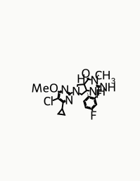 COc1nc(N2C[C@H]3C(=O)N(C)C(=N)N[C@@]3(c3ccc(F)cc3F)C2)nc(C2CC2)c1Cl